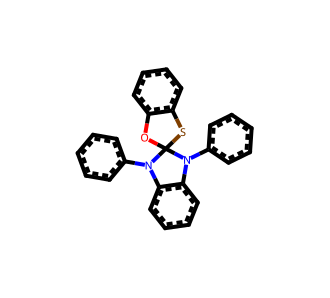 c1ccc(N2c3ccccc3N(c3ccccc3)C23Oc2ccccc2S3)cc1